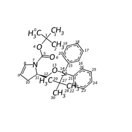 CC(C)(C)OC(=O)N1C=CC[C@@H]1CO[Si](c1ccccc1)(c1ccccc1)C(C)(C)C